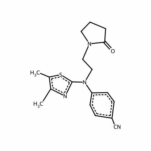 Cc1nc(N(CCN2CCCC2=O)c2ccc(C#N)cc2)sc1C